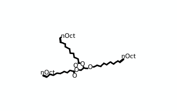 CCCCCCCC/C=C\CCCCCCCCOCC(COC(=O)CCCCCCC/C=C\CCCCCCCC)OC(=O)CCCCCCC/C=C\CCCCCCCC